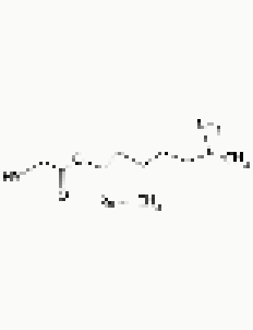 CC(C)CCCCCOC(=O)CS.[CH3][Sn]